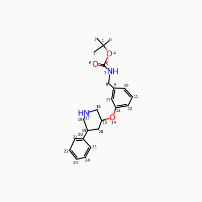 CC(C)(C)OC(=O)NCc1cccc(OC2CNCC(c3ccccc3)C2)c1